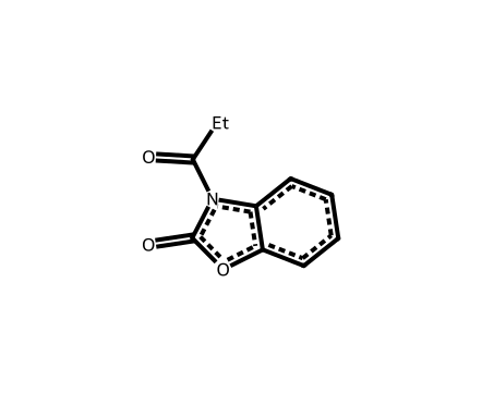 CCC(=O)n1c(=O)oc2ccccc21